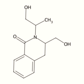 CC(CO)N1C(=O)c2ccccc2CC1CO